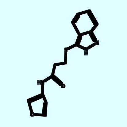 O=C(CCSc1[nH]nc2ccccc12)Nc1ccoc1